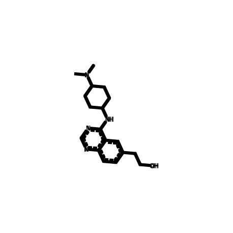 CN(C)C1CCC(Nc2ncnc3ccc(CCO)cc23)CC1